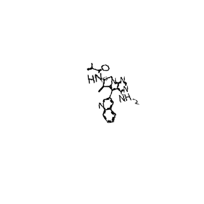 C=C(C)C(=O)N[C@@H]1Cn2c(c(-c3cnc4ccccc4c3)c3c(N)ncnc32)C1=C